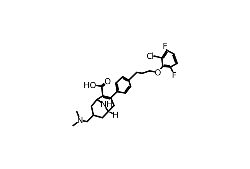 CN(C)CC1CC2N[C@H](CC(c3ccc(CCCOc4c(F)ccc(F)c4Cl)cc3)=C2C(=O)O)C1